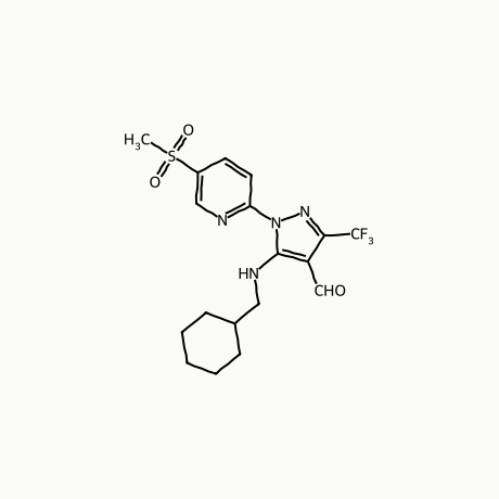 CS(=O)(=O)c1ccc(-n2nc(C(F)(F)F)c(C=O)c2NCC2CCCCC2)nc1